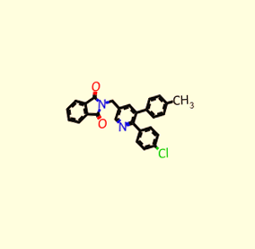 Cc1ccc(-c2cc(CN3C(=O)c4ccccc4C3=O)cnc2-c2ccc(Cl)cc2)cc1